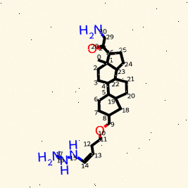 CC12CCC3C4CCC(COCC/C=C\NNN)CC4CCC3C1CCC2C(=O)CN